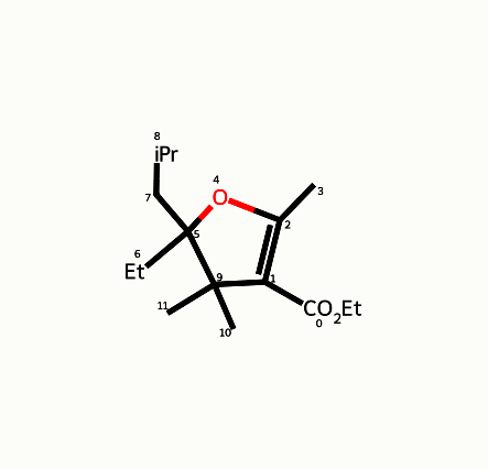 CCOC(=O)C1=C(C)OC(CC)(CC(C)C)C1(C)C